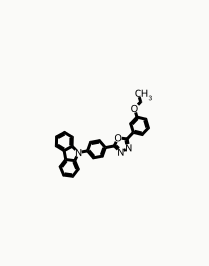 CCOc1cccc(-c2nnc(-c3ccc(-n4c5ccccc5c5ccccc54)cc3)o2)c1